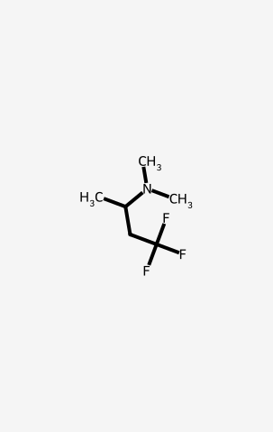 CC(CC(F)(F)F)N(C)C